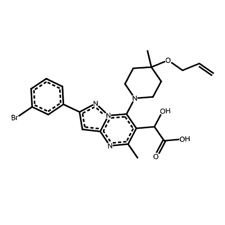 C=CCOC1(C)CCN(c2c(C(O)C(=O)O)c(C)nc3cc(-c4cccc(Br)c4)nn23)CC1